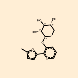 Cc1ccc(-c2ncccc2O[C@@H]2SC[C@@H](O)[C@H](O)[C@H]2O)o1